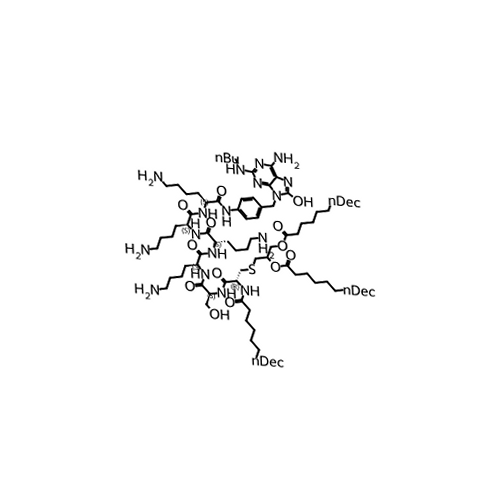 CCCCCCCCCCCCCCCC(=O)N[C@@H](CSCC(COC(=O)CCCCCCCCCCCCCCC)OC(=O)CCCCCCCCCCCCCCC)C(=O)N[C@@H](CO)C(=O)N[C@@H](CCCCN)C(=O)N[C@@H](CCCCN)C(=O)N[C@@H](CCCCN)C(=O)N[C@@H](CCCCN)C(=O)Nc1ccc(Cn2c(O)nc3c(N)nc(NCCCC)nc32)cc1